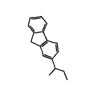 CCC(C)c1[c]c2c(cc1)-c1ccccc1C2